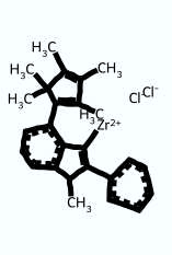 CC1=C(C)C(C)(C)C(c2cccc3c2[C]([Zr+2])=C(c2ccccc2)C3C)=C1C.[Cl-].[Cl-]